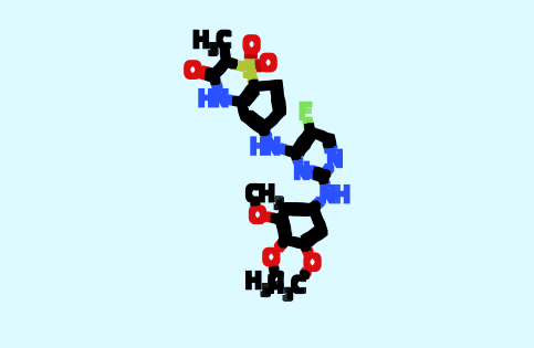 COc1cc(Nc2ncc(F)c(Nc3ccc4c(c3)NC(=O)C(C)S4(=O)=O)n2)cc(OC)c1OC